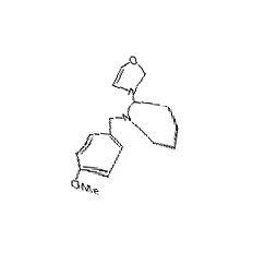 COc1ccc(CN2CCCCC2N2C=COC2)cc1